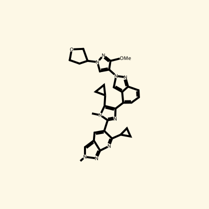 COc1nn(C2CCOC2)cc1-n1cc2c(-c3nc(-c4cc5cn(C)nc5nc4C4CC4)n(C)c3C3CC3)cccc2n1